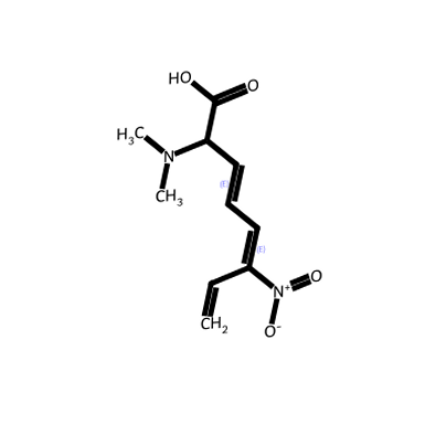 C=C/C(=C\C=C\C(C(=O)O)N(C)C)[N+](=O)[O-]